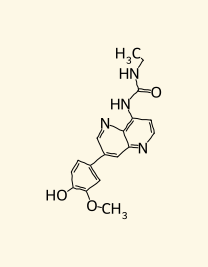 CCNC(=O)Nc1ccnc2cc(-c3ccc(O)c(OC)c3)cnc12